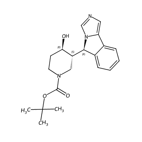 CC(C)(C)OC(=O)N1CC[C@@H](O)[C@H]([C@@H]2c3ccccc3-c3cncn32)C1